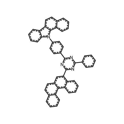 c1ccc(-c2nc(-c3ccc(-n4c5ccccc5c5ccc6ccccc6c54)cc3)nc(-c3cc4ccc5ccccc5c4c4ccccc34)n2)cc1